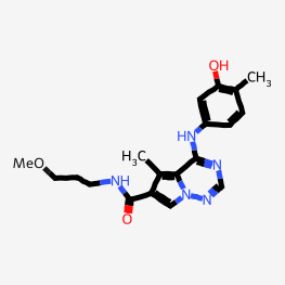 COCCCNC(=O)c1cn2ncnc(Nc3ccc(C)c(O)c3)c2c1C